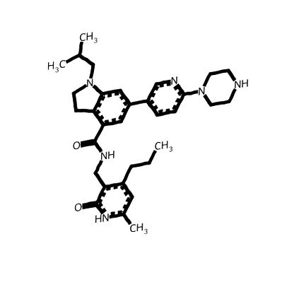 CCCc1cc(C)[nH]c(=O)c1CNC(=O)c1cc(-c2ccc(N3CCNCC3)nc2)cc2c1CCN2CC(C)C